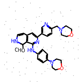 O=CC1NC=Cc2cc(-c3ccc(CN4CCOCC4)nc3)nc(Nc3ccc(N4CCOCC4)cc3)c21